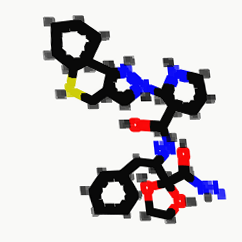 NC(=O)C1(C(Cc2ccccc2)NC(=O)c2cccnc2-n2cc3c(n2)-c2ccccc2SC3)OCCO1